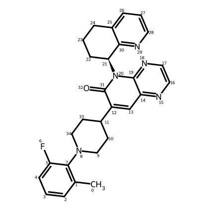 Cc1cccc(F)c1N1CCC(c2cc3nccnc3n([C@H]3CCCc4cccnc43)c2=O)CC1